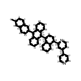 Cc1ccc2cc(-c3c4ccccc4c(-c4ccc(-c5cc(-c6ccncc6)ccn5)c5ccccc45)c4ccccc34)ccc2c1